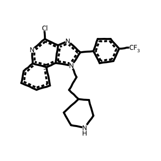 FC(F)(F)c1ccc(-c2nc3c(Cl)nc4ccccc4c3n2CCC2CCNCC2)cc1